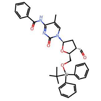 Cc1cn([C@H]2C[C@H](C=O)[C@@H](CO[Si](c3ccccc3)(c3ccccc3)C(C)(C)C)O2)c(=O)nc1NC(=O)c1ccccc1